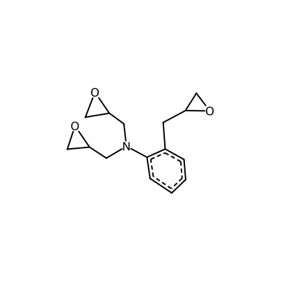 c1ccc(N(CC2CO2)CC2CO2)c(CC2CO2)c1